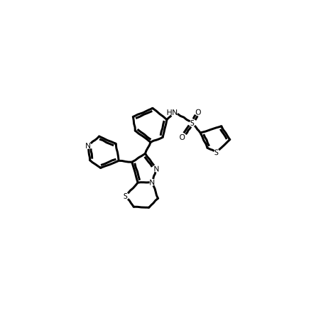 O=S(=O)(Nc1cccc(-c2nn3c(c2-c2ccncc2)SCCC3)c1)c1ccsc1